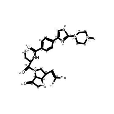 CC(C)CC(NC(=O)c1ccc(-c2csc(N3CCN(C)CC3)n2)cc1)C(=O)N1CC(C=C(F)F)C2OCC(=O)C21